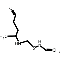 C=CNSCNC(C)CCC=O